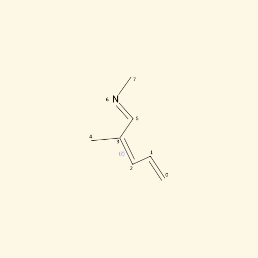 C=C/C=C(/C)C=NC